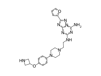 Nc1nc(NCCN2CCN(c3ccc(OC4CNC4)cc3)CC2)nc2nc(-c3ccco3)nn12